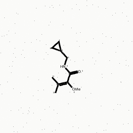 COC(C(=O)NCC1CC1)=C(C)C